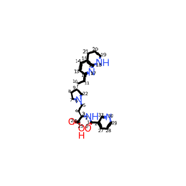 O=C(N[C@H](CCN1CC[C@H](CCc2ccc3c(n2)NCCC3)C1)C(=O)O)c1cccnc1